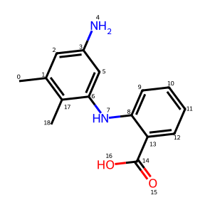 Cc1cc(N)cc(Nc2ccccc2C(=O)O)c1C